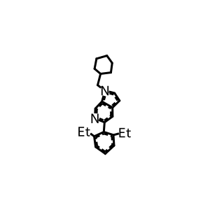 CCc1cccc(CC)c1-c1cc2ccn(CC3CCCCC3)c2cn1